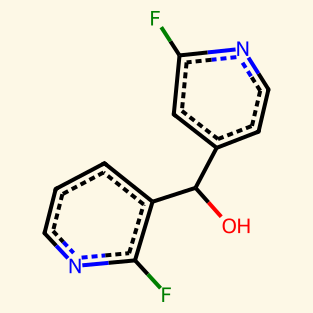 OC(c1ccnc(F)c1)c1cccnc1F